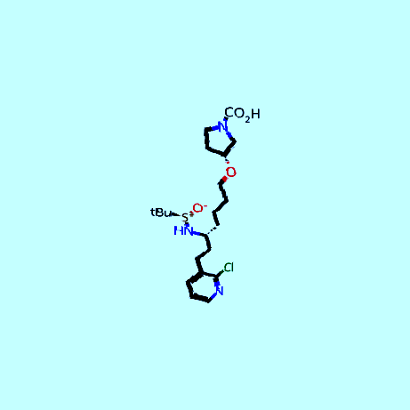 CC(C)(C)[S@@+]([O-])N[C@H](CCCCO[C@@H]1CCN(C(=O)O)C1)CCc1cccnc1Cl